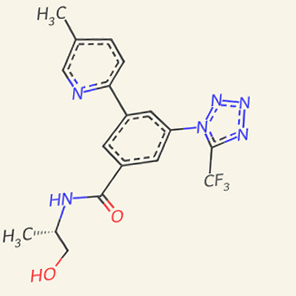 Cc1ccc(-c2cc(C(=O)N[C@@H](C)CO)cc(-n3nnnc3C(F)(F)F)c2)nc1